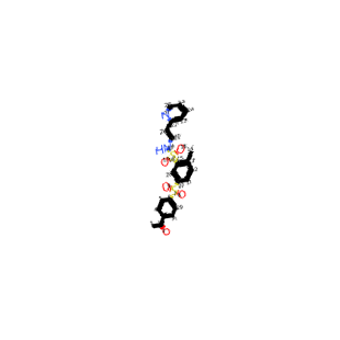 CC(=O)c1ccc(S(=O)(=O)c2ccc(C)c(S(=O)(=O)NCCc3ccccn3)c2)cc1